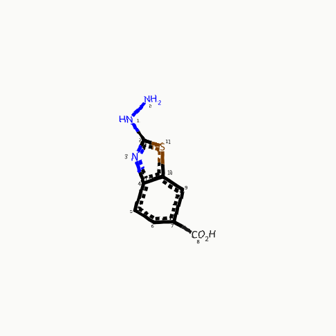 NNc1nc2ccc(C(=O)O)cc2s1